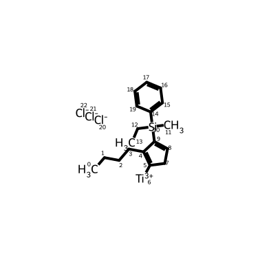 CCCCC1=[C]([Ti+3])CC=C1[Si](C)(CC)c1ccccc1.[Cl-].[Cl-].[Cl-]